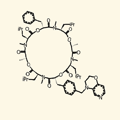 CC(C)C[C@H]1C(=O)O[C@H](Cc2ccc(CN3CCOc4ccncc43)cc2)C(=O)N(C)[C@@H](CC(C)C)C(=O)O[C@H](C)C(=O)N(C)[C@@H](CC(C)C)C(=O)O[C@H](Cc2ccccc2)C(=O)N(C)[C@@H](CC(C)C)C(=O)O[C@H](C)C(=O)N1C